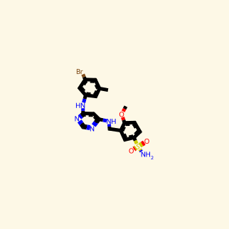 COc1ccc(S(N)(=O)=O)cc1CNc1cc(Nc2cc(C)cc(Br)c2)ncn1